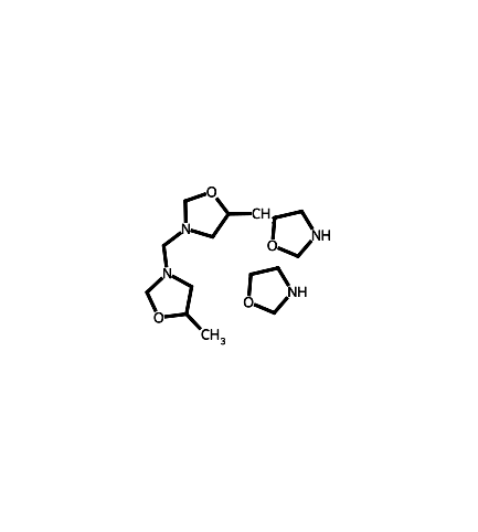 C1COCN1.C1COCN1.CC1CN(CN2COC(C)C2)CO1